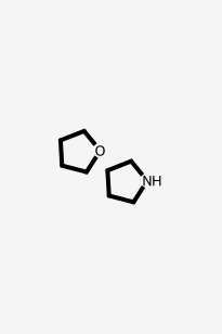 C1CCNC1.C1CCOC1